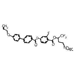 C=CCOc1ccc(-c2ccc(C(=O)Oc3ccc(C(=O)OC(CCCCCCCCCCCC)C(F)(F)F)c(F)c3)cc2)cc1